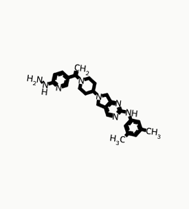 C=C(c1ccc(NN)nc1)N1CCC(N2Cc3cnc(Nc4cc(C)cc(C)c4)nc3C2)CC1